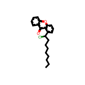 CCCCCCCCC(Cl)c1cccc2oc3ccccc3c(=O)c12